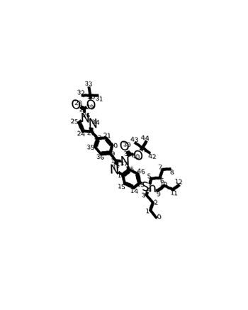 CCC[CH2][Sn]([CH2]CCC)([CH2]CCC)[c]1ccc2nc(-c3ccc(-c4ccn(C(=O)OC(C)(C)C)n4)cc3)n(C(=O)OC(C)(C)C)c2c1